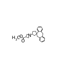 COC(=O)C1CN(C2CCC3(Cc4ccccc4Cc4ccccc43)C2)C1